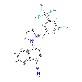 N#Cc1ccc(N2CCCN2Cc2cc(F)cc(C(F)(F)F)c2)c2ccccc12